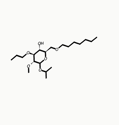 CCCCCCCOC[C@H]1OC(OC(C)C)[C@H](OC)[C@@H](OCCC)[C@@H]1O